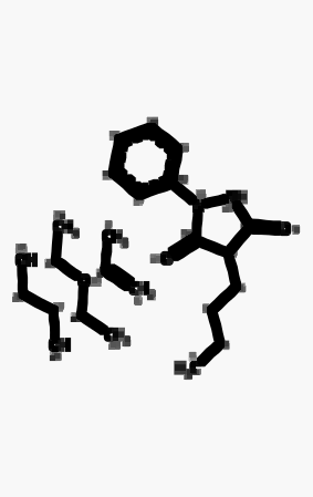 C=CC.CCCCC1C(=O)NN(c2ccccc2)C1=O.CCOCC.OCCO